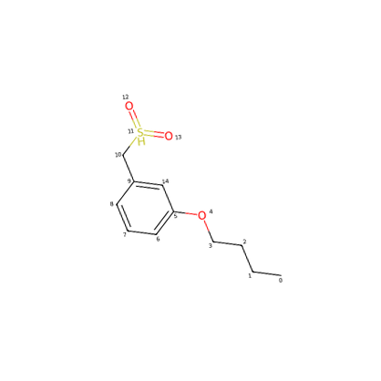 CCCCOc1cccc(C[SH](=O)=O)c1